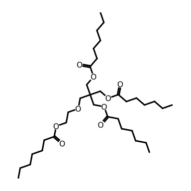 CCCCCCC(=O)OCCOCC(COC(=O)CCCCCC)(COC(=O)CCCCCC)COC(=O)CCCCCC